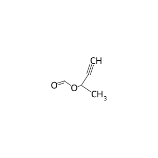 C#CC(C)OC=O